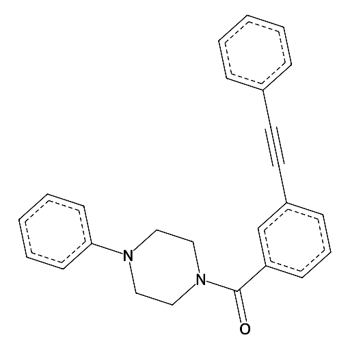 O=C(c1cccc(C#Cc2ccccc2)c1)N1CCN(c2ccccc2)CC1